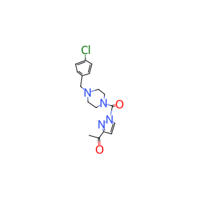 CC(=O)c1ccn(C(=O)N2CCN(Cc3ccc(Cl)cc3)CC2)n1